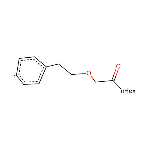 CCCCCCC(=O)COCCc1cc[c]cc1